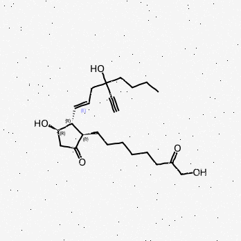 C#CC(O)(C/C=C/[C@H]1[C@H](O)CC(=O)[C@@H]1CCCCCCC(=O)CO)CCCC